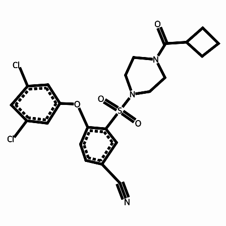 N#Cc1ccc(Oc2cc(Cl)cc(Cl)c2)c(S(=O)(=O)N2CCN(C(=O)C3CCC3)CC2)c1